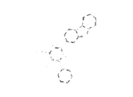 CCc1c(Cl)nc(-c2ccc3c(c2)oc2ccccc23)nc1-c1ccccc1